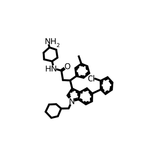 Cc1cccc(C(CC(=O)NC2CCC(N)CC2)c2cn(CC3CCCCC3)c3ccc(-c4ccccc4Cl)cc23)c1